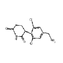 NCc1cc(Cl)c(C2CCC(=O)NC2=O)c(Cl)c1